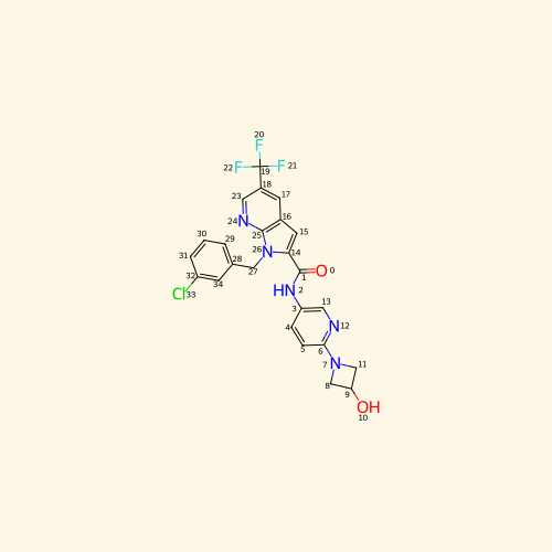 O=C(Nc1ccc(N2CC(O)C2)nc1)c1cc2cc(C(F)(F)F)cnc2n1Cc1cccc(Cl)c1